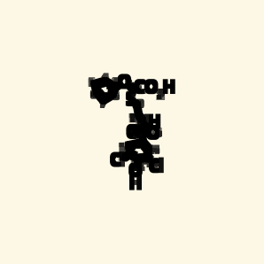 O=C(O)C(Oc1ccccc1)SCCNS(=O)(=O)c1cc(Cl)c(O)c(Cl)c1